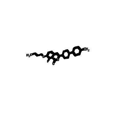 CCCCOc1ccc2cc(C3CCC(C4CCC(C)CC4)CC3)oc(=O)c2c1F